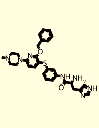 CN1CCN(c2ccc(Sc3cccc(NC(=O)C(N)Cc4c[nH]cn4)c3)c(OCc3ccccc3)n2)CC1